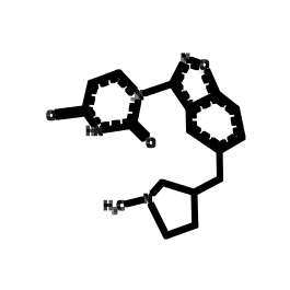 CN1CCC(Cc2ccc3onc(-n4ccc(=O)[nH]c4=O)c3c2)C1